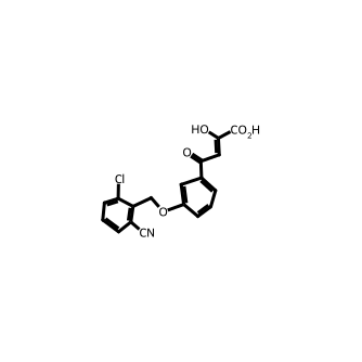 N#Cc1cccc(Cl)c1COc1cccc(C(=O)C=C(O)C(=O)O)c1